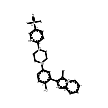 Cc1c(-c2cc(N3CCN(c4ccc(P(C)(C)=O)cn4)CC3)ccc2Cl)nc2ccccn12